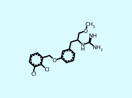 COCC(Cc1cccc(OCc2cccc(Cl)c2Cl)c1)NC(=N)N